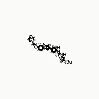 CC(C)(C)c1cc(NC(=O)Nc2ccc(-c3cc4sc5cc(OCCN6CCOCC6)ccc5n4c3)cc2)no1